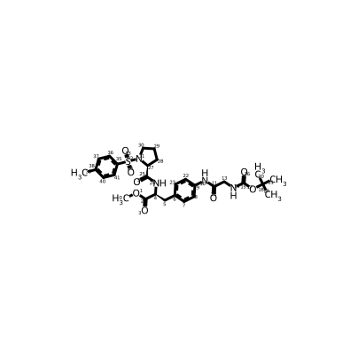 COC(=O)[C@H](Cc1ccc(NC(=O)CNC(=O)OC(C)(C)C)cc1)NC(=O)[C@@H]1CCCN1S(=O)(=O)c1ccc(C)cc1